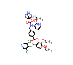 COc1ccc([C@H](Cc2c(Cl)cncc2Cl)OC(=O)c2ccc(CN(C(=O)O[C@H]3CN4CCC3CC4)c3cccnc3OC)cc2)cc1OC